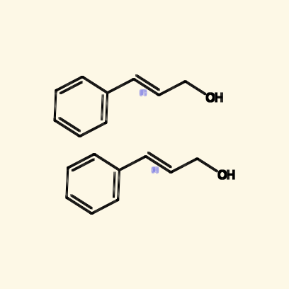 OC/C=C/c1ccccc1.OC/C=C/c1ccccc1